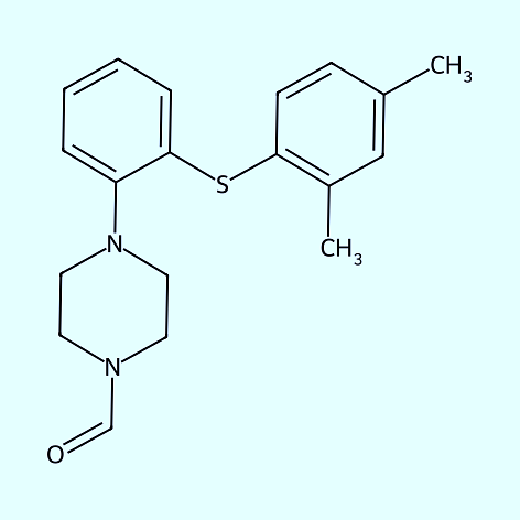 Cc1ccc(Sc2ccccc2N2CCN(C=O)CC2)c(C)c1